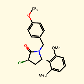 COc1cccc(OC)c1[C@@H]1C[C@@H](Cl)C(=O)N1Cc1ccc(OC(F)(F)F)cc1